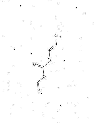 C/C=C/CC(=O)OC=O